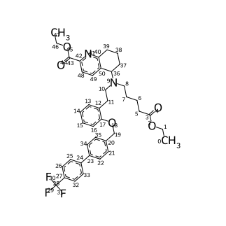 CCOC(=O)CCCCN(CCc1ccccc1OCc1ccc(-c2ccc(C(F)(F)F)cc2)cc1)C1CCCc2nc(C(=O)OCC)ccc21